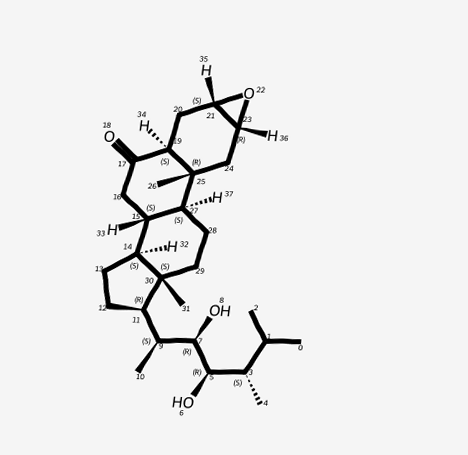 CC(C)[C@H](C)[C@@H](O)[C@H](O)[C@@H](C)[C@H]1CC[C@H]2[C@@H]3CC(=O)[C@H]4C[C@@H]5O[C@@H]5C[C@]4(C)[C@H]3CC[C@]12C